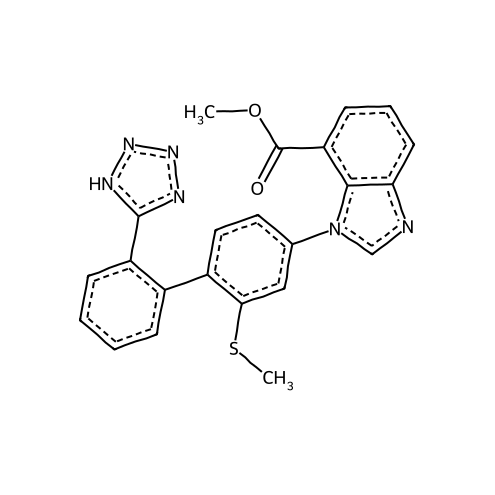 COC(=O)c1cccc2ncn(-c3ccc(-c4ccccc4-c4nnn[nH]4)c(SC)c3)c12